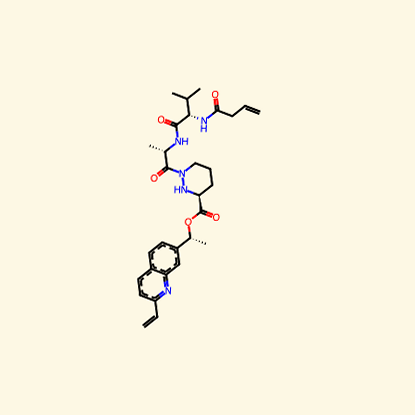 C=CCC(=O)N[C@H](C(=O)N[C@@H](C)C(=O)N1CCC[C@@H](C(=O)O[C@H](C)c2ccc3ccc(C=C)nc3c2)N1)C(C)C